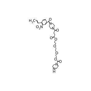 C/C=C/c1ccc(C(=O)N2CCN(C(=O)CCC(=O)OCCOCCOCCOC(=O)N3CCNCC3)CC2)cc1[N+](=O)[O-]